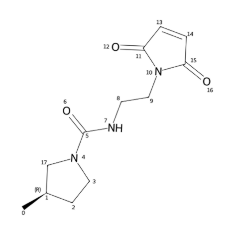 C[C@@H]1CCN(C(=O)NCCN2C(=O)C=CC2=O)C1